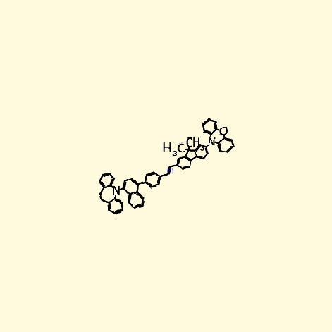 CC1(C)c2cc(/C=C/c3ccc(-c4ccc(N5c6ccccc6CCc6ccccc65)c5ccccc45)cc3)ccc2-c2ccc(N3c4ccccc4Oc4ccccc43)cc21